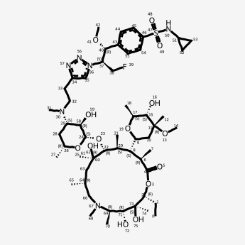 CC[C@H]1OC(=O)[C@H](C)[C@@H](C2C[C@@](C)(OC)[C@@H](O)[C@H](C)O2)[C@H](C)[C@@H](O[C@@H]2O[C@H](C)C[C@H](N(C)CCc3cn([C@H](CF)[C@H](OC)c4ccc(S(=O)(=O)NC5CC5)cc4)nn3)[C@H]2O)[C@](C)(O)C[C@@H](C)CN(C)[C@H](C)[C@@H](O)[C@]1(C)O